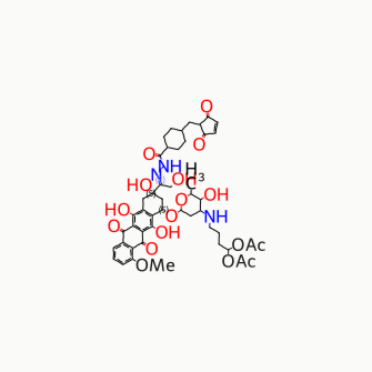 COc1cccc2c1C(=O)c1c(O)c3c(c(O)c1C2=O)C[C@@](O)(/C(CO)=N/NC(=O)C1CCC(CC2C(=O)C=CC2=O)CC1)C[C@@H]3OC1CC(NCCCC(OC(C)=O)OC(C)=O)C(O)C(C)O1